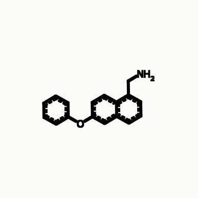 NCc1cccc2cc(Oc3ccccc3)ccc12